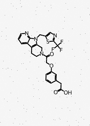 O=C(O)Cc1cccc(OCC(=O)N2CCc3c(n(Cc4cnc(C(F)(F)F)s4)c4ncccc34)C2)c1